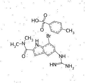 CN(C)C(=O)c1cc2cc(NC(=N)N)cc(Br)c2[nH]1.Cc1ccc(S(=O)(=O)O)cc1